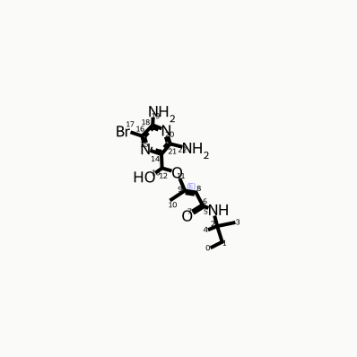 CCC(C)(C)NC(=O)/C=C(\C)OC(O)c1nc(Br)c(N)nc1N